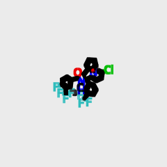 Cc1c(C(F)(F)F)cccc1[C@](Cc1ccccc1)(NC(=O)c1ccc(F)c(C(F)(F)F)c1)c1ccc(Cl)cn1